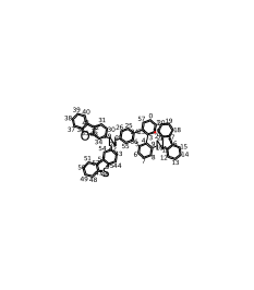 c1ccc(-c2ccccc2-n2c3ccccc3c3ccccc32)c(-c2ccc(N(c3ccc4c(c3)oc3ccccc34)c3ccc4sc5ccccc5c4c3)cc2)c1